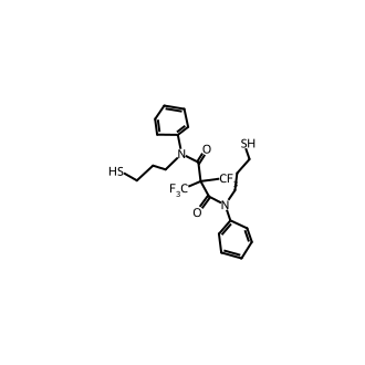 O=C(N(CCCS)c1ccccc1)C(C(=O)N(CCCS)c1ccccc1)(C(F)(F)F)C(F)(F)F